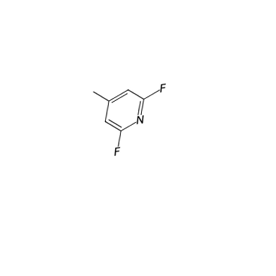 Cc1cc(F)nc(F)c1